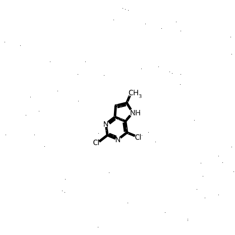 Cc1cc2nc(Cl)nc(Cl)c2[nH]1